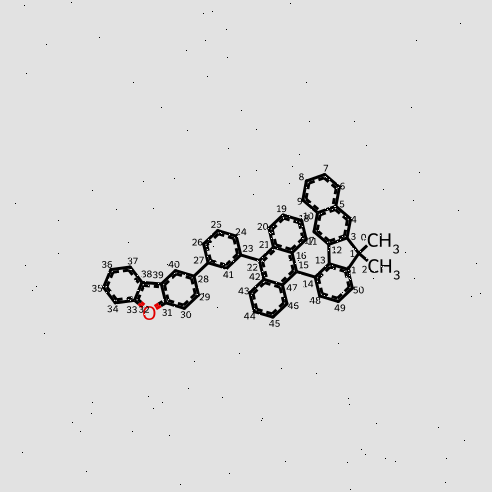 CC1(C)c2cc3ccccc3cc2-c2c(-c3c4ccccc4c(-c4cccc(-c5ccc6oc7ccccc7c6c5)c4)c4ccccc34)cccc21